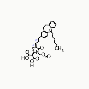 CCCCCCN1c2ccccc2CCc2cc(/C=C/C=c3/sc(=C(C(=O)O)C(=O)O)n(COC=O)c3=O)ccc21